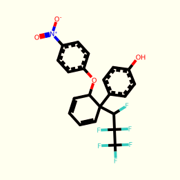 O=[N+]([O-])c1ccc(OC2C=CC=CC2(c2ccc(O)cc2)C(F)C(F)(F)C(F)(F)F)cc1